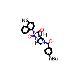 CCCCc1ccc(C(=O)N2C[C@@H]3C[C@H]2[C@@H]2C(=O)N(c4ccc(C#N)c5ccccc45)C(=O)N32)cc1